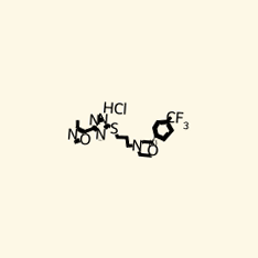 Cc1ncoc1-c1nnc(SCCCN2CCO[C@@H](c3ccc(C(F)(F)F)cc3)C2)n1C.Cl